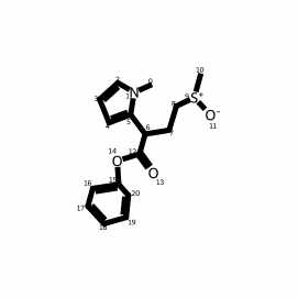 Cn1cccc1C(CC[S+](C)[O-])C(=O)Oc1ccccc1